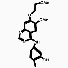 COCCOc1cc2ncnc(Nc3ccc(C)c(O)c3)c2cc1OC